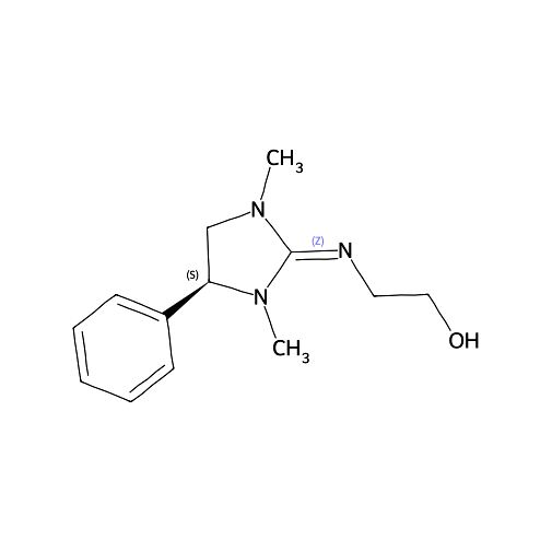 CN1C[C@H](c2ccccc2)N(C)/C1=N\CCO